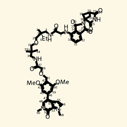 CC[C@](C)(CNC(=O)CNc1cccc2c1C(=O)N(C13CC(C1)C(=O)NC3=O)C2=O)COCC(C)(C)CNC(=O)COCc1c(OC)cc(-c2cn(C)c(=O)c3c2ccn3C)cc1OC